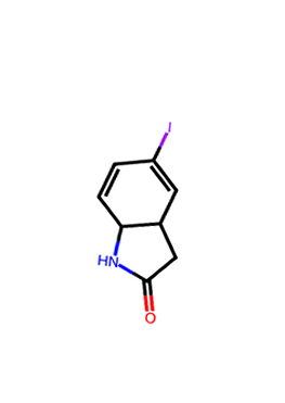 O=C1CC2C=C(I)C=CC2N1